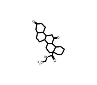 O=C1CCC2C(CCC3C2CC(=O)C2C3CCC3(C(=O)NCC(F)(F)F)CCCCC23)C1